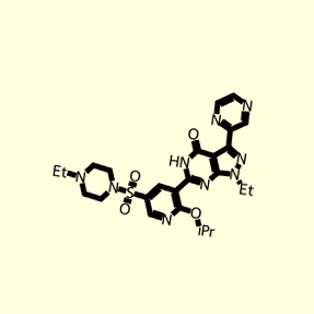 CCN1CCN(S(=O)(=O)c2cnc(OC(C)C)c(-c3nc4c(c(-c5cnccn5)nn4CC)c(=O)[nH]3)c2)CC1